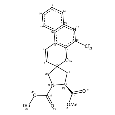 COC(=O)[C@@H]1CC2(C=Cc3c(c(C(F)(F)F)nc4ccccc34)O2)CN1C(=O)OC(C)(C)C